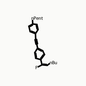 CCCC/C=C(/F)c1ccc(C#Cc2ccc(CCCCC)cc2)cc1